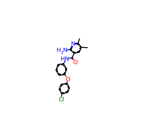 Cc1cc(C(=O)Nc2cccc(Oc3ccc(Cl)cc3)c2)c(N)nc1C